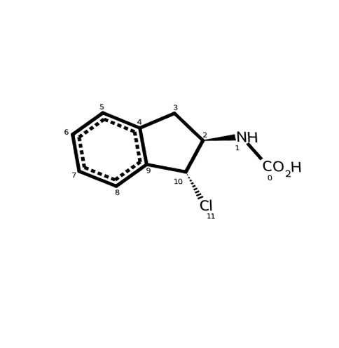 O=C(O)N[C@@H]1Cc2ccccc2[C@H]1Cl